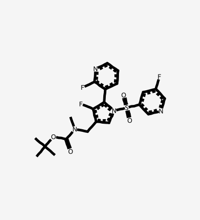 CN(Cc1cn(S(=O)(=O)c2cncc(F)c2)c(-c2cccnc2F)c1F)C(=O)OC(C)(C)C